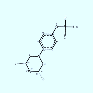 C[C@@H]1CN(c2ccc(OC(F)(F)F)cc2)C[C@H](C)N1